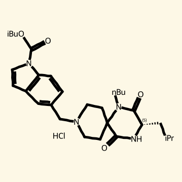 CCCCN1C(=O)[C@H](CC(C)C)NC(=O)C12CCN(Cc1ccc3c(ccn3C(=O)OCC(C)C)c1)CC2.Cl